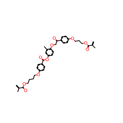 C=C(C)C(=O)OCCCCOc1ccc(C(=O)Oc2ccc(OCC(=O)c3ccc(OCCCOC(=O)C(=C)C)cc3)c(C)c2)cc1